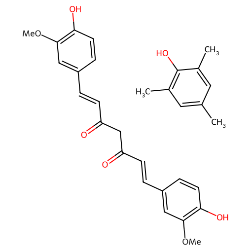 COc1cc(C=CC(=O)CC(=O)C=Cc2ccc(O)c(OC)c2)ccc1O.Cc1cc(C)c(O)c(C)c1